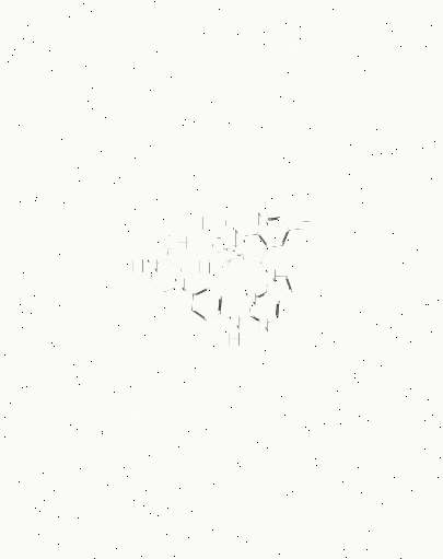 CC1CN(c2ccc(Nc3ncc4ccn(Cc5cc(F)cnc5N(C)S(C)(=O)=O)c4n3)cc2)CCN1